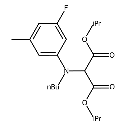 CCCCN(c1cc(C)cc(F)c1)C(C(=O)OC(C)C)C(=O)OC(C)C